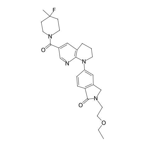 CCOCCN1Cc2cc(N3CCCc4cc(C(=O)N5CCC(C)(F)CC5)cnc43)ccc2C1=O